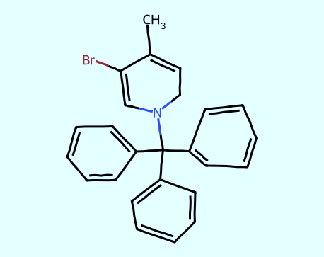 CC1=CCN(C(c2ccccc2)(c2ccccc2)c2ccccc2)C=C1Br